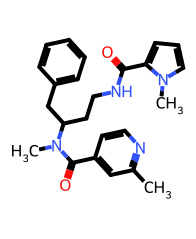 Cc1cc(C(=O)N(C)C(CCNC(=O)c2cccn2C)Cc2ccccc2)ccn1